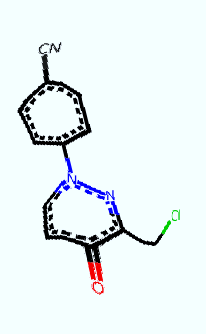 N#Cc1ccc(-n2ccc(=O)c(CCl)n2)cc1